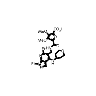 CCc1nc2c(cnn2CC)c(NC2CCOCC2)c1CNC(=O)c1oc(C(=O)O)c(OC)c1OC